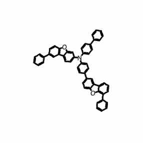 c1ccc(-c2ccc(N(c3ccc(-c4ccc5oc6c(-c7ccccc7)cccc6c5c4)cc3)c3ccc4c(c3)oc3ccc(-c5ccccc5)cc34)cc2)cc1